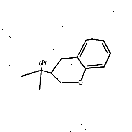 CCCC(C)(C)C1COc2ccccc2C1